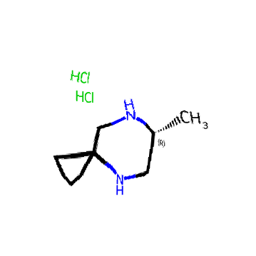 C[C@@H]1CNC2(CC2)CN1.Cl.Cl